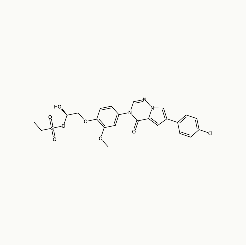 CCS(=O)(=O)O[C@@H](O)COc1ccc(-n2cnn3cc(-c4ccc(Cl)cc4)cc3c2=O)cc1OC